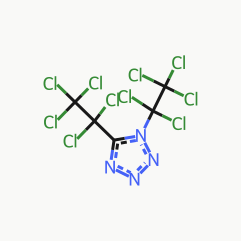 ClC(Cl)(Cl)C(Cl)(Cl)c1nnnn1C(Cl)(Cl)C(Cl)(Cl)Cl